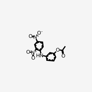 CC(=O)Oc1cccc(Nc2ccc([N+](=O)[O-])cc2[N+](=O)[O-])c1